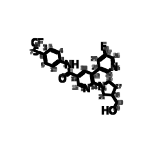 O=C(Nc1ccc(SC(F)(F)F)cc1)c1cnc(N2CCC(CO)C2)c(-c2cncc(F)c2)c1